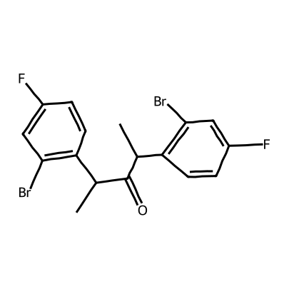 CC(C(=O)C(C)c1ccc(F)cc1Br)c1ccc(F)cc1Br